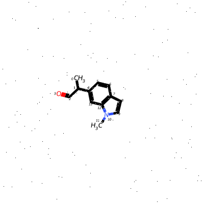 CC(C=O)c1ccc2ccn(C)c2c1